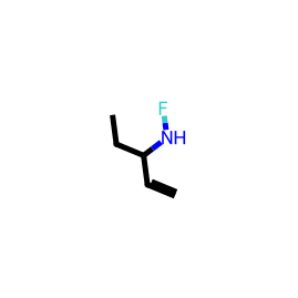 C=CC(CC)NF